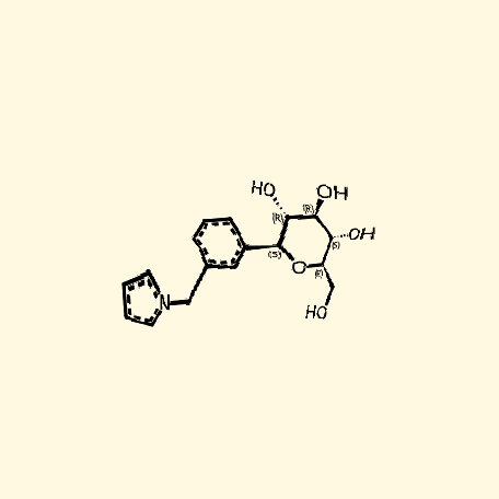 OC[C@H]1O[C@@H](c2cccc(Cn3cccc3)c2)[C@H](O)[C@@H](O)[C@@H]1O